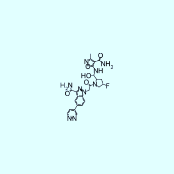 Cc1noc(NC(O)C2CC(F)CN2C(=O)Cn2nc(C(N)=O)c3cc(-c4ccnnc4)ccc32)c1C(N)=O